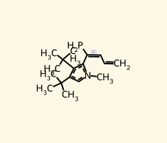 C=C/C=C(/P)c1c(C(C)(C)C)c(C(C)(C)C)cn1C